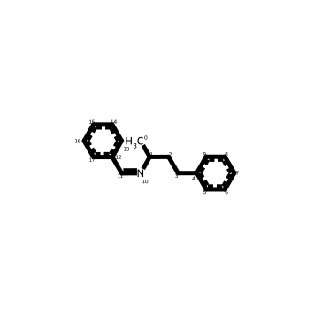 CC(CCc1ccccc1)/N=C\c1ccccc1